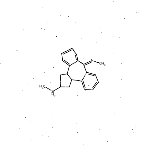 CN=C1c2ccccc2C2CC([SiH2]C)CC2c2ccccc21